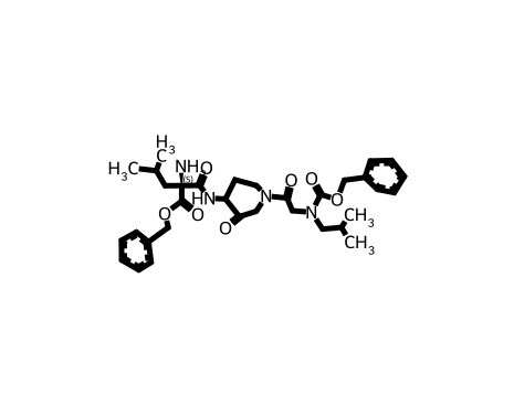 CC(C)CN(CC(=O)N1CCC(NC(=O)[C@@](N)(CC(C)C)C(=O)OCc2ccccc2)C(=O)C1)C(=O)OCc1ccccc1